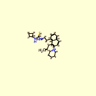 C=CCc1c(N2CCCCC2)ccc2cccc(CCNC(=S)NC3CCC3)c12